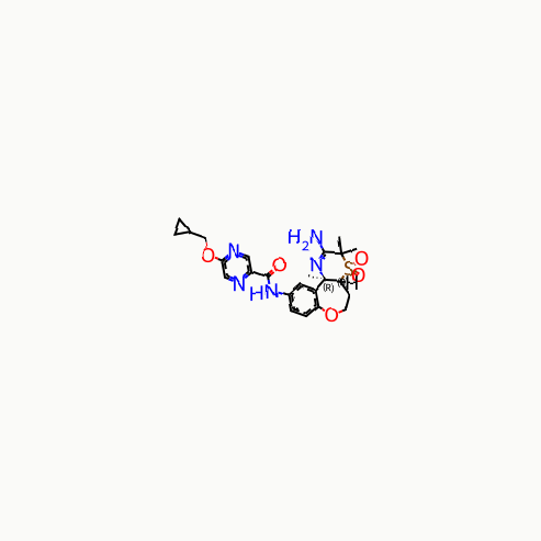 CC1(C)C(N)=N[C@]2(C)c3cc(NC(=O)c4cnc(OCC5CC5)cn4)ccc3OCC[C@H]2S1(=O)=O